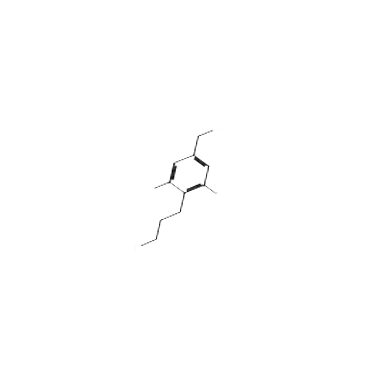 OCc1cc(F)c(CCCF)c(F)c1